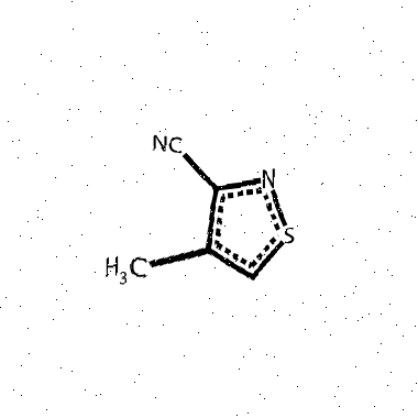 Cc1csnc1C#N